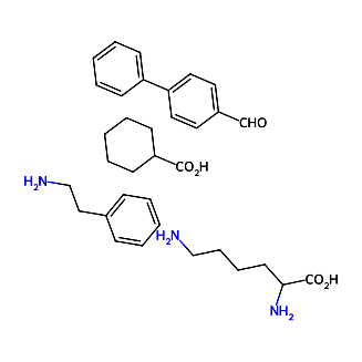 NCCCCC(N)C(=O)O.NCCc1ccccc1.O=C(O)C1CCCCC1.O=Cc1ccc(-c2ccccc2)cc1